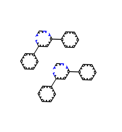 [Ir+3].c1ccc(-c2cc(-c3ccccc3)ncn2)cc1.c1ccc(-c2cc(-c3ccccc3)ncn2)cc1